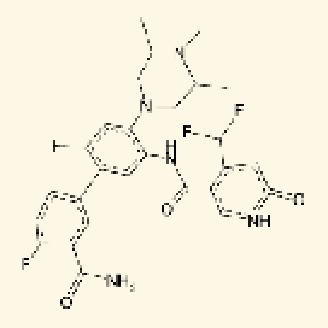 CC1CN(c2cc(F)c(-c3ccc(F)c(C(N)=O)c3)cc2NC(=O)c2c[nH]c(=O)cc2C(F)F)CC(C)N1C